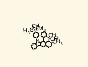 CC1CC=c2cc3c4ccccc4n(-c4ccc([Si](C)(C)C)cc4)c3c3c2=C1C(C)(C)c1ccccc1-3